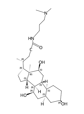 C[C@H](CCC(=O)NCCCN(C)C)[C@H]1CC[C@H]2[C@@H]3[C@H](O)C[C@@H]4C[C@H](O)CC[C@]4(C)[C@H]3C[C@H](O)[C@]12C